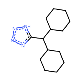 C1CCC(C(c2nnn[nH]2)C2CCCCC2)CC1